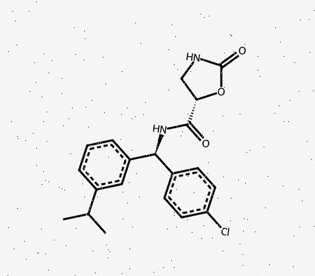 CC(C)c1cccc([C@@H](NC(=O)[C@@H]2CNC(=O)O2)c2ccc(Cl)cc2)c1